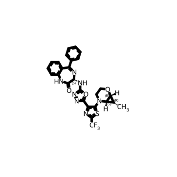 C[C@H]1[C@H]2OCCN(c3sc(C(F)(F)F)nc3-c3nnc(N[C@H]4N=C(c5ccccc5)c5ccccc5NC4=O)o3)[C@@H]12